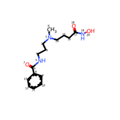 CN(CCCNC(=O)c1ccccc1)CCCC(=O)NO